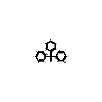 CC(c1ccccc1)(c1ccccc1)c1ccccc1